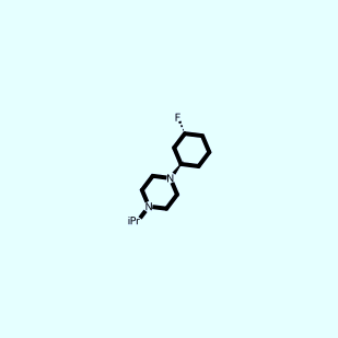 CC(C)N1CCN([C@@H]2CCC[C@@H](F)C2)CC1